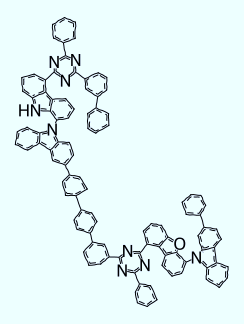 c1ccc(-c2cccc(-c3nc(-c4ccccc4)nc(-c4cccc5[nH]c6c(-n7c8ccccc8c8cc(-c9ccc(-c%10ccc(-c%11cccc(-c%12nc(-c%13ccccc%13)nc(-c%13cccc%14oc%15c(-n%16c%17ccccc%17c%17ccc(-c%18ccccc%18)cc%17%16)cccc%15c%13%14)n%12)c%11)cc%10)cc9)ccc87)cccc6c45)n3)c2)cc1